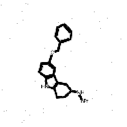 CCCNC1CCc2[nH]c3ccc(OCc4ccccc4)cc3c2C1